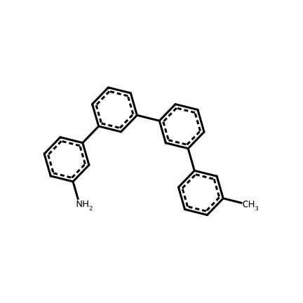 Cc1cccc(-c2cccc(-c3cccc(-c4cccc(N)c4)c3)c2)c1